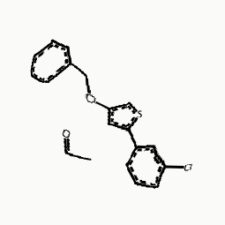 CC=O.Clc1cccc(-c2cc(OCc3ccccc3)cs2)c1